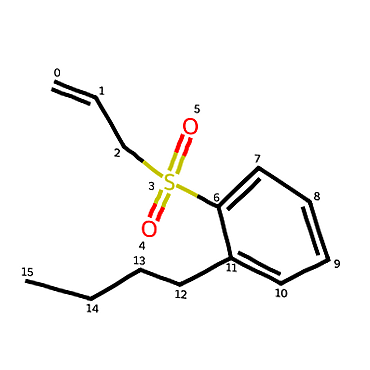 C=CCS(=O)(=O)c1ccccc1CCCC